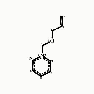 C=CCOC[n+]1ccccc1